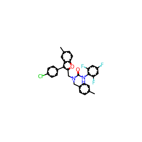 Cc1ccc(CN(Cc2oc3ccc(C)cc3c2-c2ccc(Cl)cc2)C(=O)Nc2c(F)cc(F)cc2F)cc1